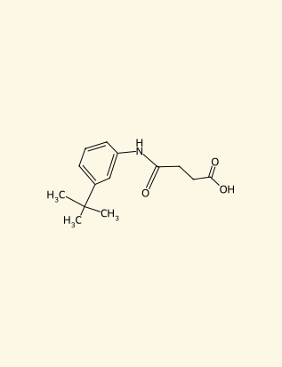 CC(C)(C)c1cccc(NC(=O)CCC(=O)O)c1